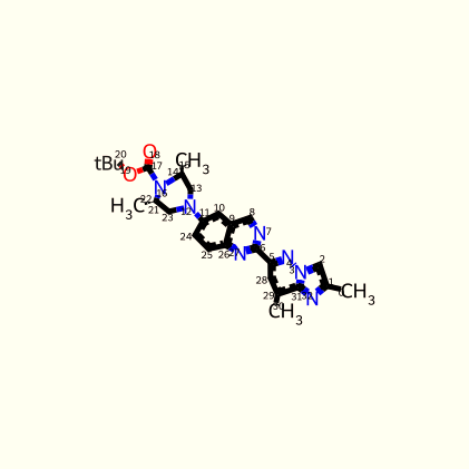 Cc1cn2nc(-c3ncc4cc(N5C[C@H](C)N(C(=O)OC(C)(C)C)[C@@H](C)C5)ccc4n3)cc(C)c2n1